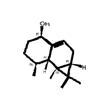 C[C@H]1CC[C@@H](O)C2=CC[C@@H]3C(C)(C)[C@]3(C)[C@@H]21